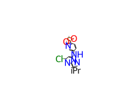 CC(C)c1cnn2c(Nc3ccc(S(C)(=O)=O)nc3)cc(Cl)nc12